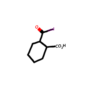 O=C(O)C1CCCCC1C(=O)I